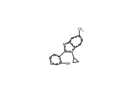 FC(F)(F)c1ccc2c(c1)nc(-c1ccncc1S)n2C1CC1